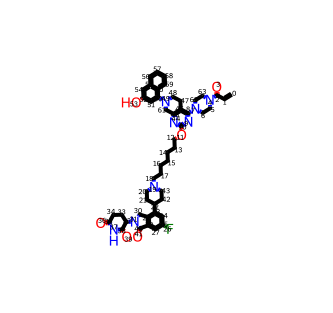 C=CC(=O)N1CCN(c2nc(OCCCCCCCN3CCC(c4cc(F)cc5c4CN(C4CCC(=O)NC4=O)C5=O)CC3)nc3c2CCN(c2cc(O)cc4ccccc24)C3)CC1